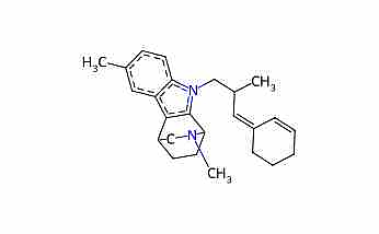 Cc1ccc2c(c1)c1c(n2CC(C)/C=C2\C=CCCC2)C2CCC1CN2C